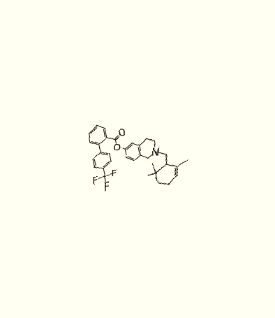 CC1=CCCC(C)(C)C1CN1CCc2cc(OC(=O)c3ccccc3-c3ccc(C(F)(F)F)cc3)ccc2C1